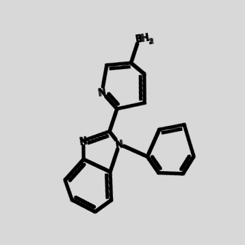 Bc1ccc(-c2nc3ccccc3n2-c2ccccc2)nc1